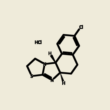 Cl.Clc1ccc2c(c1)CC[C@H]1N=C3SCCN3[C@H]21